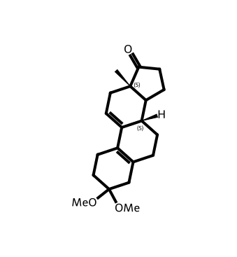 COC1(OC)CCC2=C(CC[C@@H]3C2=CC[C@]2(C)C(=O)CCC32)C1